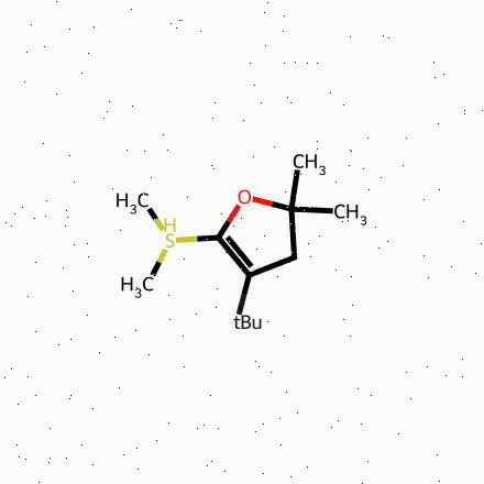 C[SH](C)C1=C(C(C)(C)C)CC(C)(C)O1